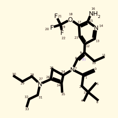 C=C(CC(C)(C)C)N(/C=C(\CC)c1cnc(N)c(OC(F)(F)F)c1)C1CC(N(CCC)CCC)=C1C